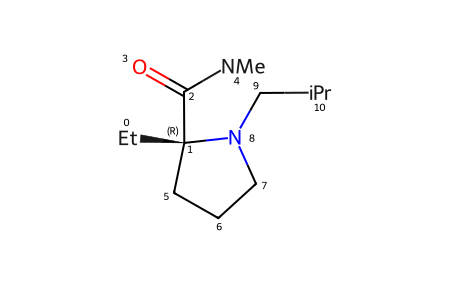 CC[C@]1(C(=O)NC)CCCN1CC(C)C